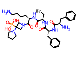 CC(C)C[C@@H](NC(=O)[C@@H](Cc1ccccc1)NC(=O)[C@H](N)Cc1ccccc1)C(=O)N[C@H](CCCCN)C(=O)N1CC(N2CCCC2)(P(=O)(O)O)C1